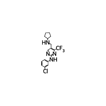 FC(F)(F)c1nc(Nc2cccc(Cl)c2)ncc1CNC1CCCC1